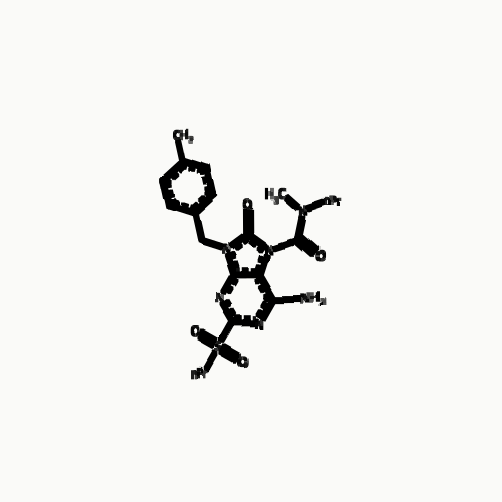 CCCN(C)C(=O)n1c(=O)n(Cc2ccc(C)cc2)c2nc(S(=O)(=O)CCC)nc(N)c21